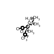 CN(C)CCN(C)CC(=O)N1CC(c2ccc(Cl)c(Cl)c2)C(N(C)Cc2ccc(C(F)(F)F)c(F)c2)C1